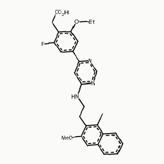 CCOc1cc(-c2cc(NCCc3c(OC)cc4ccccc4c3C)ncn2)cc(F)c1CC(=O)O